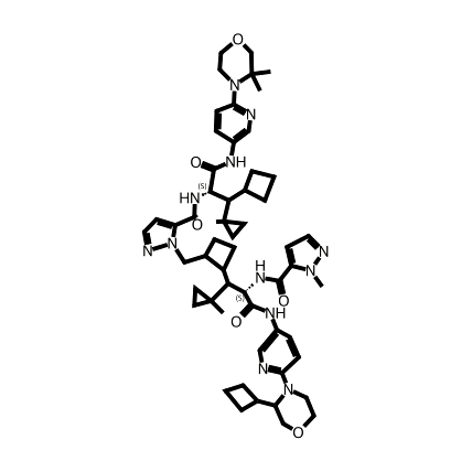 Cn1nccc1C(=O)N[C@H](C(=O)Nc1ccc(N2CCOCC2C2CCC2)nc1)C(C1CCC1Cn1nccc1C(=O)N[C@H](C(=O)Nc1ccc(N2CCOCC2(C)C)nc1)C(C1CCC1)C1(C)CC1)C1(C)CC1